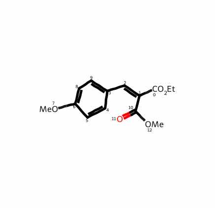 CCOC(=O)C(=Cc1ccc(OC)cc1)C(=O)OC